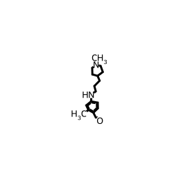 Cc1cc(NCCCC2CCN(C)CC2)ccc1C=O